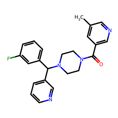 Cc1cncc(C(=O)N2CCN(C(c3cccnc3)c3cccc(F)c3)CC2)c1